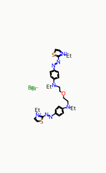 CCN(CCOCCN(CC)c1ccc(N=Nc2scc[n+]2CC)cc1)c1ccc(N=Nc2scc[n+]2CC)cc1.[Br-].[Br-]